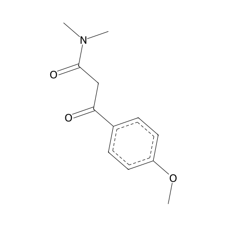 COc1ccc(C(=O)CC(=O)N(C)C)cc1